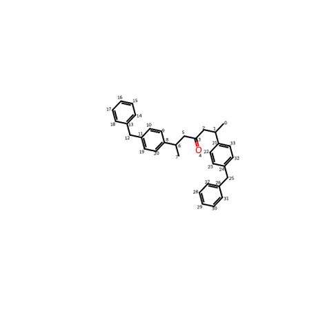 CC(CC(=O)CC(C)c1ccc(Cc2ccccc2)cc1)c1ccc(Cc2ccccc2)cc1